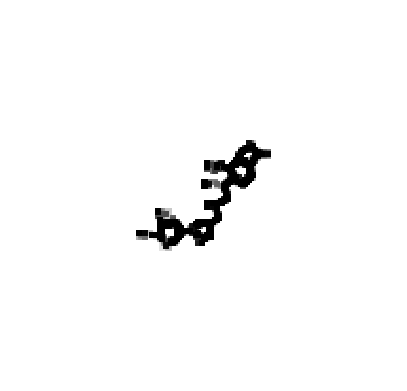 Cc1cc(-n2cc(CNC[C@H](O)c3ccc4c(c3C)COC4=O)cn2)cnc1C#N